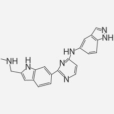 CNCc1cc2ccc(-c3nccc(Nc4ccc5[nH]ncc5c4)n3)cc2[nH]1